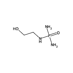 NP(N)(=O)NCCO